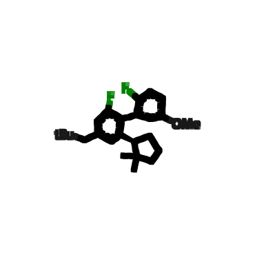 COc1ccc(F)c(-c2c(F)cc(CC(C)(C)C)cc2[C@H]2CCCC2(C)C)c1